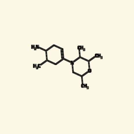 CC1CN(C2=CCC(N)C(C)C2)C(C)C(C)O1